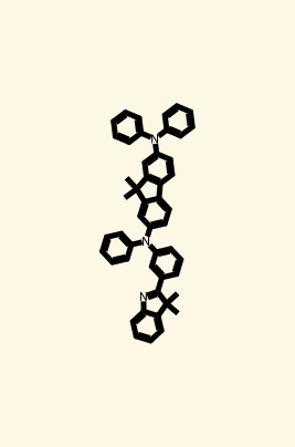 CC1(C)C(c2cccc(N(c3ccccc3)c3ccc4c(c3)C(C)(C)c3cc(N(c5ccccc5)c5ccccc5)ccc3-4)c2)=Nc2ccccc21